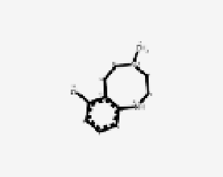 CN1CCNc2cccc(Cl)c2CC1